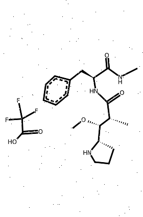 CNC(=O)[C@H](Cc1ccccc1)NC(=O)[C@H](C)[C@@H](OC)[C@@H]1CCCN1.O=C(O)C(F)(F)F